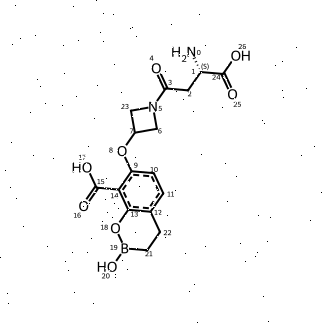 N[C@@H](CC(=O)N1CC(Oc2ccc3c(c2C(=O)O)OB(O)CC3)C1)C(=O)O